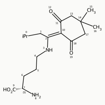 CC(C)CC(NCCC[C@H](N)C(=O)O)=C1C(=O)CC(C)(C)CC1=O